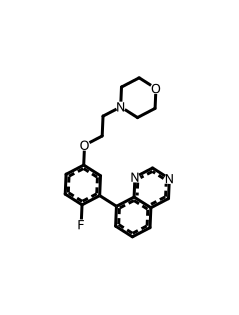 Fc1ccc(OCCN2CCOCC2)cc1-c1cccc2cncnc12